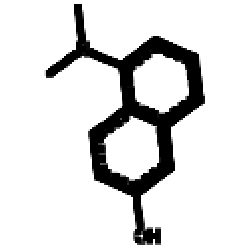 CN(C)c1cccc2cc(O)ccc12